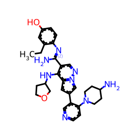 CCc1cc(O)ccc1/N=C(\N)c1cnn2cc(-c3cnccc3N3CCC(N)CC3)cc2c1NC1CCOC1